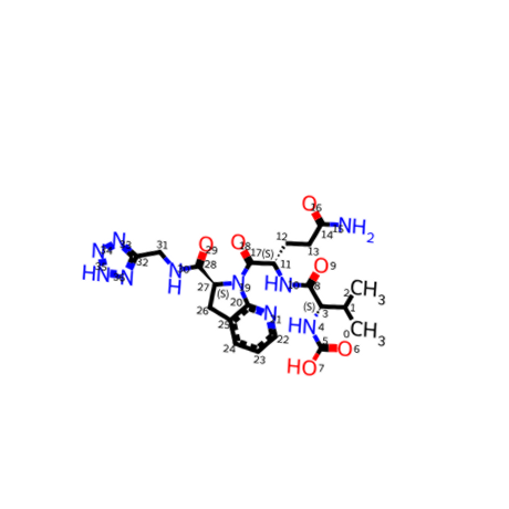 CC(C)[C@H](NC(=O)O)C(=O)N[C@@H](CCC(N)=O)C(=O)N1c2ncccc2C[C@H]1C(=O)NCc1nn[nH]n1